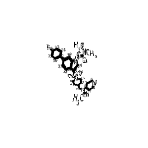 Cc1nc2cnccc2n1CC1CCN(S(=O)(=O)c2cn(OC(=O)N(C)C)c3cc(-c4ccc(F)cc4)ccc23)CC1